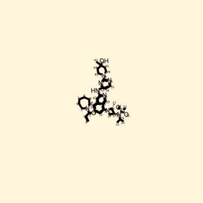 C=CC(=O)N1CCCCC[C@@H]1c1ccc(N2C[C@H](N(C(C)C)S(C)(=O)=O)[C@H]2C)c2cnc(Nc3ccnc(N4CCC(C)(O)CC4)n3)cc12